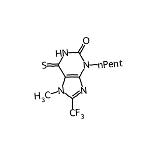 CCCCCn1c(=O)[nH]c(=S)c2c1nc(C(F)(F)F)n2C